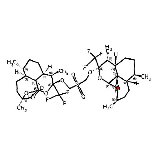 C[C@@H]1CC[C@H]2[C@@H](C)[C@](OCS(=O)(=O)CO[C@@]3(C(F)(F)F)O[C@@H]4O[C@]5(C)CC[C@H]6[C@H](C)CC[C@@H]([C@H]3C)[C@@]46OO5)(C(F)(F)F)O[C@@H]3O[C@]4(C)CC[C@@H]1[C@]32OO4